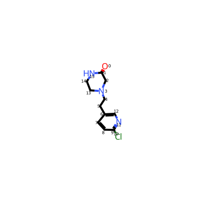 O=C1CN(CCc2ccc(Cl)nc2)CCN1